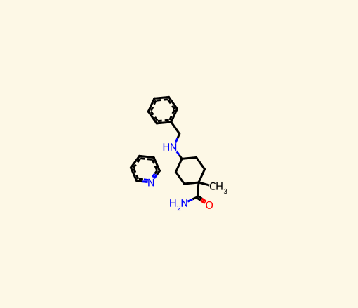 CC1(C(N)=O)CCC(NCc2ccccc2)CC1.c1ccncc1